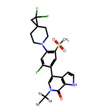 [2H]C([2H])([2H])n1cc(-c2cc(S(C)(=O)=O)c(N3CCC4(CC3)CC4(F)F)cc2F)c2cc[nH]c2c1=O